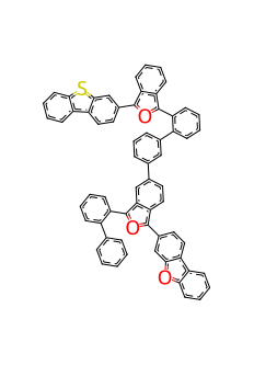 c1ccc(-c2ccccc2-c2oc(-c3ccc4c(c3)oc3ccccc34)c3ccc(-c4cccc(-c5ccccc5-c5oc(-c6ccc7c(c6)sc6ccccc67)c6ccccc56)c4)cc23)cc1